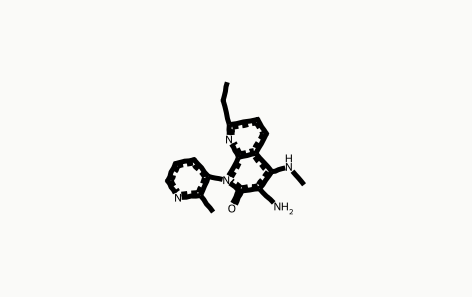 CCc1ccc2c(NC)c(N)c(=O)n(-c3cccnc3C)c2n1